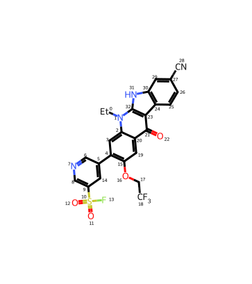 CCn1c2cc(-c3cncc(S(=O)(=O)F)c3)c(OCC(F)(F)F)cc2c(=O)c2c3ccc(C#N)cc3[nH]c21